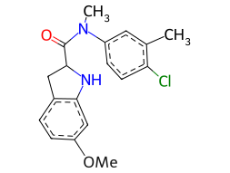 COc1ccc2c(c1)NC(C(=O)N(C)c1ccc(Cl)c(C)c1)C2